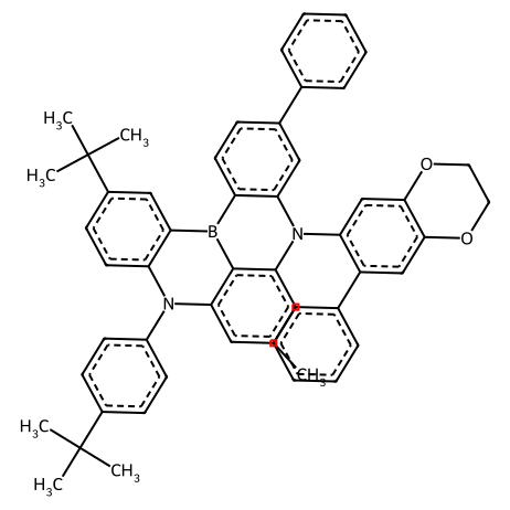 Cc1cc2c3c(c1)N(c1cc4c(cc1-c1ccccc1)OCCO4)c1cc(-c4ccccc4)ccc1B3c1cc(C(C)(C)C)ccc1N2c1ccc(C(C)(C)C)cc1